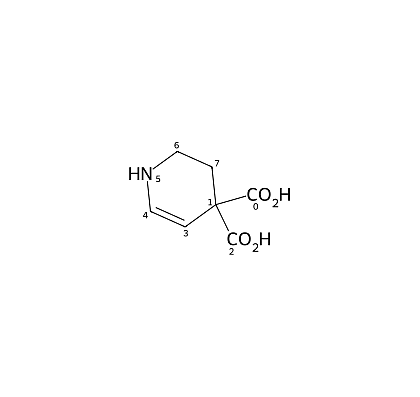 O=C(O)C1(C(=O)O)C=CNCC1